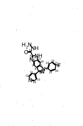 NNC(=O)c1nc2cc3c(-c4ccncc4)nn(-c4ccc(F)cc4)c3cc2[nH]1